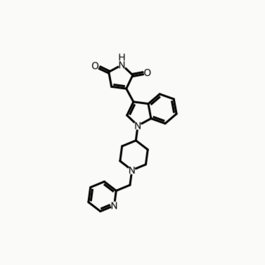 O=C1C=C(c2cn(C3CCN(Cc4ccccn4)CC3)c3ccccc23)C(=O)N1